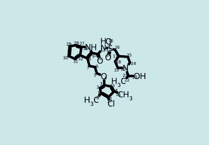 Cc1cc(OCCCc2c(C(=O)NS(=O)(=O)CC3CCN(C(C)O)CC3)[nH]c3ccccc23)cc(C)c1Cl